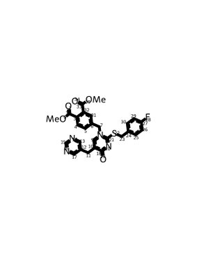 COC(=O)c1ccc(Cn2cc(Cc3cncnc3)c(=O)nc2SCc2ccc(F)cc2)cc1C(=O)OC